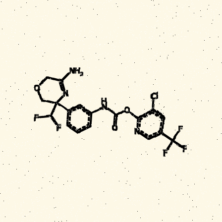 NC1=NC(c2cccc(NC(=O)Oc3ncc(C(F)(F)F)cc3Cl)c2)(C(F)F)COC1